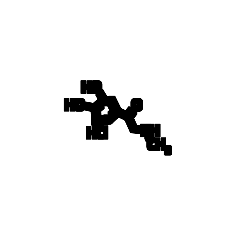 CNCC(=O)c1ccc(O)c(O)c1.Cl